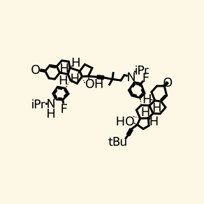 CC(C)Nc1ccc([C@H]2C[C@@]3(C)[C@@H](CC[C@@]3(O)C#CC(C)(C)CCN(c3ccc([C@H]4C[C@@]5(C)[C@@H](CC[C@@]5(O)C#CC(C)(C)C)[C@@H]5CCC6=CC(=O)CC[C@@H]6[C@H]54)cc3F)C(C)C)[C@@H]3CCC4=CC(=O)CC[C@@H]4[C@H]32)cc1F